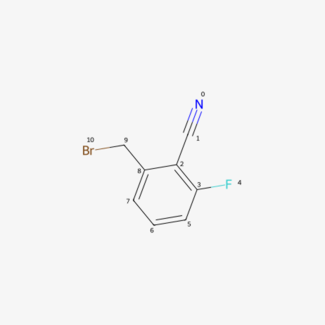 N#Cc1c(F)cccc1CBr